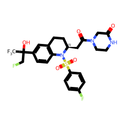 O=C1CN(C(=O)C[C@@H]2CCc3cc(C(O)(CF)C(F)(F)F)ccc3N2S(=O)(=O)c2ccc(F)cc2)CCN1